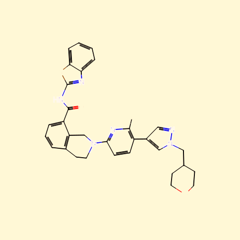 O=C(Nc1nc2ccccc2s1)c1cccc2c1CN(c1ccc(-c3cnn(CC4CCOCC4)c3)c(C(=O)O)n1)CC2